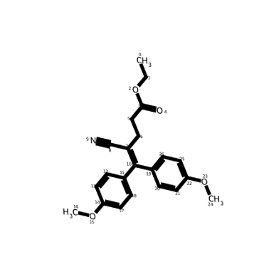 CCOC(=O)CCC(C#N)=C(c1ccc(OC)cc1)c1ccc(OC)cc1